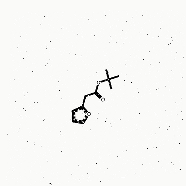 CC(C)(C)OC(=O)Cc1ccco1